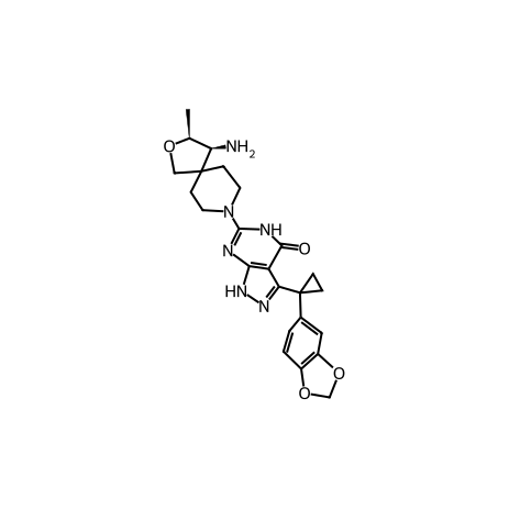 C[C@@H]1OCC2(CCN(c3nc4[nH]nc(C5(c6ccc7c(c6)OCO7)CC5)c4c(=O)[nH]3)CC2)[C@@H]1N